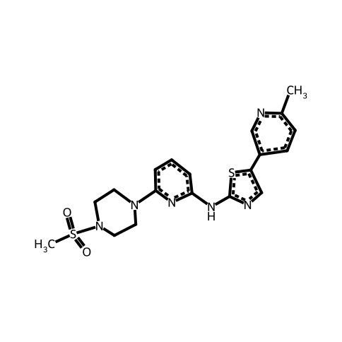 Cc1ccc(-c2cnc(Nc3cccc(N4CCN(S(C)(=O)=O)CC4)n3)s2)cn1